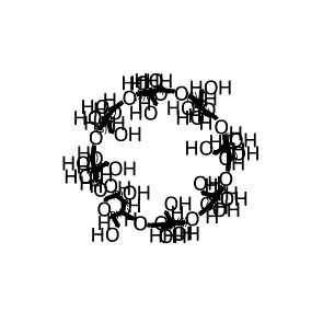 OC[C@H]1OC2O[C@H]3[C@H](O)[C@@H](O)C(O[C@H]4[C@H](O)[C@@H](O)C(O[C@H]5[C@H](O)[C@@H](O)C(O[C@H]6[C@H](O)[C@@H](O)C(O[C@H]7[C@H](O)[C@@H](O)C(O[C@H]8[C@H](O)[C@@H](O)C(O[C@H]9[C@H](O)[C@@H](O)C(O[C@H]1[C@H](O)[C@H]2O)O[C@@H]9CO)O[C@@H]8CO)O[C@@H]7CO)O[C@@H]6CO)O[C@@H]5CO)O[C@@H]4CO)O[C@@H]3CO